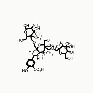 CC1(COCC2(C)C(CO)OC(C)(COCC3(C)C(CO)OC(O)C(N)[C@]3(C)O)C(NCc3ccc(O)c(C(=O)O)c3)[C@]2(C)O)OC(CO)C(O)[C@@](C)(O)C1N